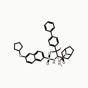 NC1CC2CCC(C1)N2C(=O)[C@@H](NS(=O)(=O)c1ccc2cc(OC3CCCC3)ccc2c1)C(F)(F)c1ccc(-c2ccccc2)cc1